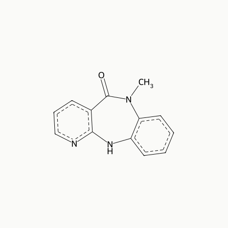 CN1C(=O)c2cccnc2Nc2ccccc21